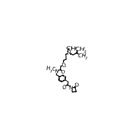 CC(C)CN(C)CCCOCC(=O)N(C)Cc1ccc(CC(=O)N2CCC2=O)cc1